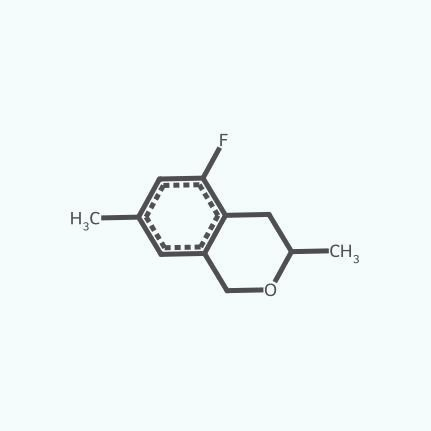 Cc1cc(F)c2c(c1)COC(C)C2